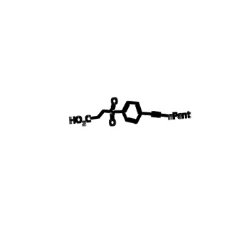 CCCCCC#Cc1ccc(S(=O)(=O)CCC(=O)O)cc1